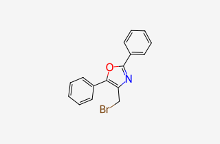 BrCc1nc(-c2ccccc2)oc1-c1ccccc1